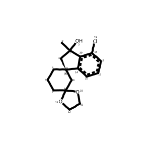 CC1(O)C[C@@]2(CCCC3(C2)OCCO3)c2cccc(Cl)c21